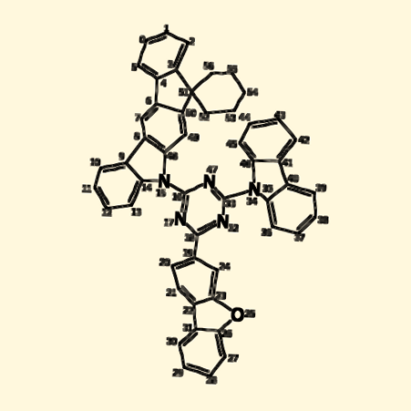 c1ccc2c(c1)-c1cc3c4ccccc4n(-c4nc(-c5ccc6c(c5)oc5ccccc56)nc(-n5c6ccccc6c6ccccc65)n4)c3cc1C21CCCCC1